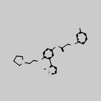 Cn1nccc1-c1cc(NC(=O)COc2cccc(F)c2)ccc1OCCN1CCCC1